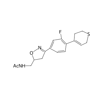 CC(=O)NCC1CC(c2ccc(C3=CCSCC3)c(F)c2)=NO1